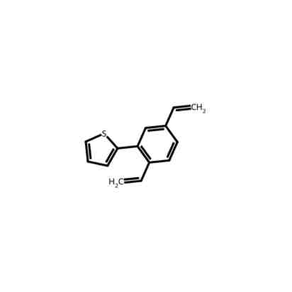 C=Cc1ccc(C=C)c(-c2cccs2)c1